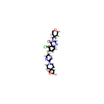 C[C@H]1CC2(CCN(c3cnc(Sc4ccc5ncn(CC6(F)CCOCC6)c(=O)c5c4Cl)cn3)CC2)CO1